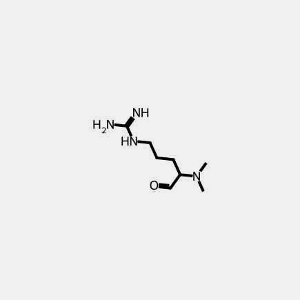 CN(C)C(C=O)CCCNC(=N)N